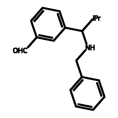 CC(C)C(NCc1ccccc1)c1cccc(C=O)c1